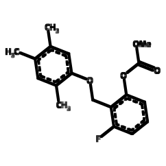 COC(=O)Oc1cccc(F)c1COc1cc(C)c(C)cc1C